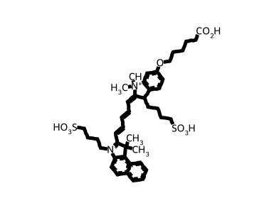 CC1(C)C(C=CC=CC=C2C(CCCCS(=O)(=O)O)c3ccc(OCCCCCC(=O)O)cc3[N+]2(C)C)=[N+](CCCCS(=O)(=O)O)c2ccc3ccccc3c21